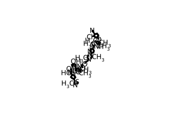 Cc1ncsc1-c1ccc([C@H](O)NC(=O)[C@@H]2C[C@@H](O)CN2C(=O)[C@@H](NC(=O)COCCN2C[C@@H](C)N(c3ccc(C(=O)N[C@H]4C(C)(C)[C@H](Oc5ccc(C#N)c(Cl)c5)C4(C)C)cn3)C[C@H]2C)C(C)(C)C)cc1